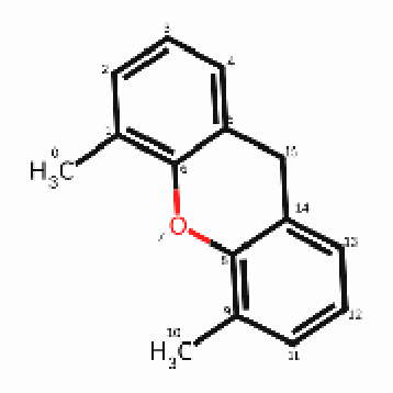 Cc1cccc2c1Oc1c(C)cccc1C2